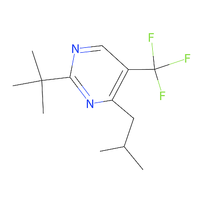 CC(C)Cc1nc(C(C)(C)C)ncc1C(F)(F)F